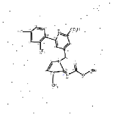 Cn1ccn(Cc2cc(C(=O)O)nc(-c3ccc(F)cc3C(F)(F)F)c2)/c1=N\C(=O)OC(C)(C)C